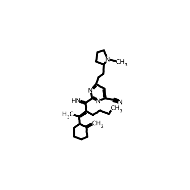 C=C1CCCCC1/C(C)=C(\CCCC)C(=N)c1nc(C#N)cc(CCC2CCCN2C)n1